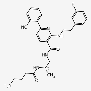 C[C@@H](CNC(=O)c1ccc(-c2ccccc2C#N)nc1NCCc1cccc(F)c1)NC(=O)CCCN